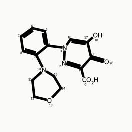 O=C(O)c1nn(-c2ccccc2N2CCOCC2)cc(O)c1=O